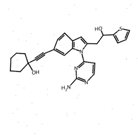 Nc1nccc(-n2c(CC(O)c3cccs3)cc3ccc(C#CC4(O)CCCCC4)cc32)n1